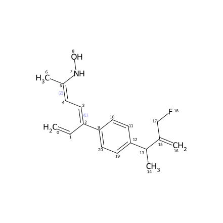 C=C/C(=C\C=C(\C)NO)c1ccc(C(C)C(=C)CF)cc1